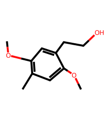 COc1cc(CCO)c(OC)cc1C